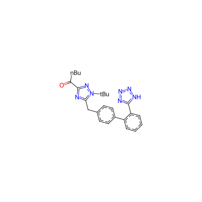 CCCCC(=O)c1nc(Cc2ccc(-c3ccccc3-c3nnn[nH]3)cc2)n(C(C)(C)C)n1